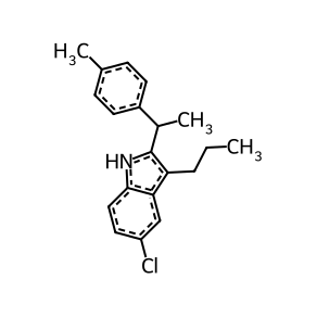 CCCc1c(C(C)c2ccc(C)cc2)[nH]c2ccc(Cl)cc12